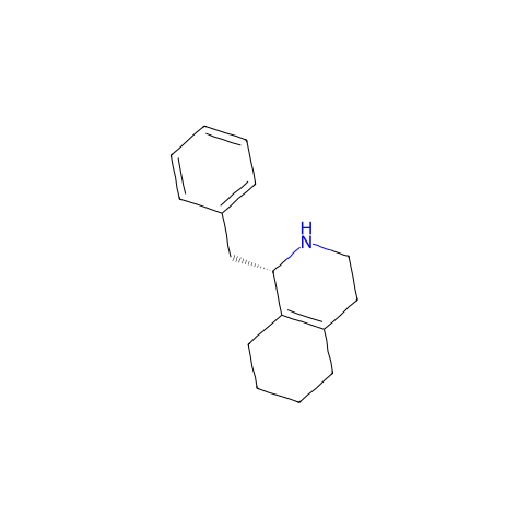 c1ccc(C[C@@H]2NCCC3=C2CCCC3)cc1